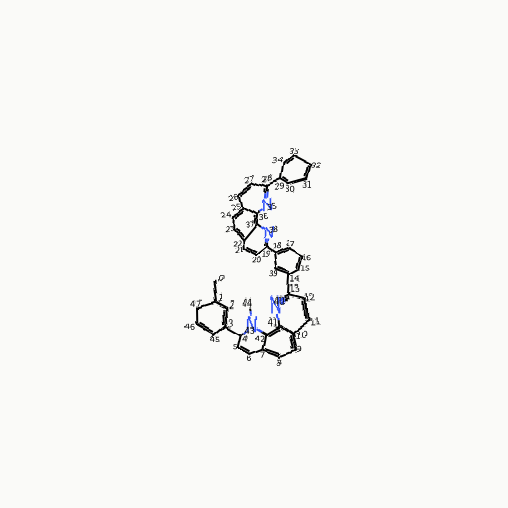 CC1C=C(C2C=Cc3ccc4ccc(-c5cccc(-c6ccc7ccc8ccc(-c9ccccc9)nc8c7n6)c5)nc4c3N2C)C=CC1